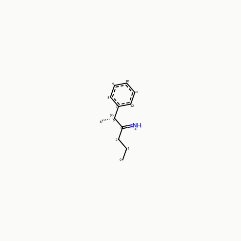 C[CH]CC(=N)[C@H](C)c1ccccc1